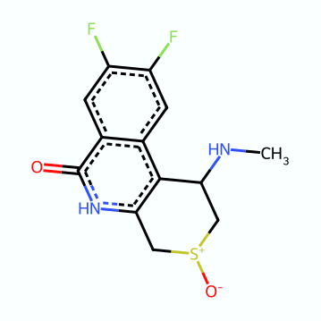 CNC1C[S+]([O-])Cc2[nH]c(=O)c3cc(F)c(F)cc3c21